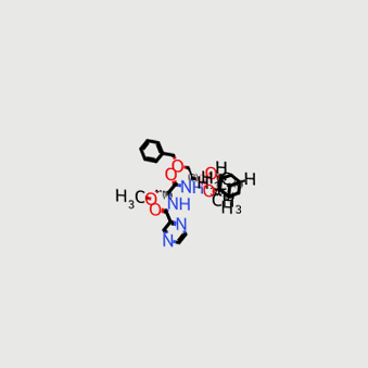 COC[C@@H](NC(=O)c1cnccn1)C(=O)N[C@@H](COCc1ccccc1)B1O[C@@H]2C[C@@H]3C[C@@H](C3(C)C)[C@]2(C)O1